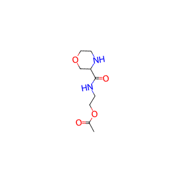 CC(=O)OCCNC(=O)C1COCCN1